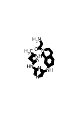 Cc1cc(Nc2cncc(Nc3ccc4c(c3)CN(C(=O)CN)CC4)n2)n[nH]1